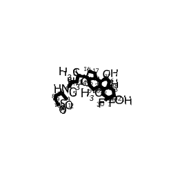 C[C@H](CCC(=O)NC1CCCS(=O)(=O)C1)[C@H]1CCC2C3C(CC[C@@]21C)[C@@]1(C)CC(F)(F)[C@H](O)C[C@H]1C[C@@H]3O